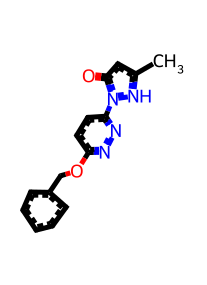 Cc1cc(=O)n(-c2ccc(OCc3ccccc3)nn2)[nH]1